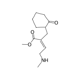 CNCC=C(CC1CCCCC1=O)C(=O)OC